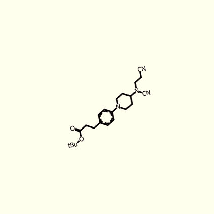 CC(C)(C)OC(=O)CCc1ccc(N2CCC(N(C#N)CCC#N)CC2)cc1